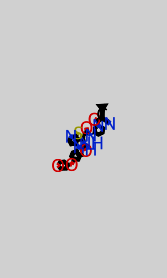 Cc1cc(OC2CCOCC2)ccc1N1C(=O)Nc2c(C(=O)N[C@@H]3CCCN(C(=O)C(=C=C4CC4)C#N)C3)sc3nccc1c23